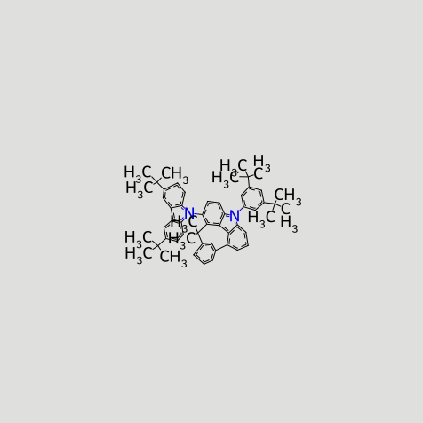 CC(C)(C)c1cc(-n2c3cccc4c3c3c(c(-n5c6ccc(C(C)(C)C)cc6c6cc(C(C)(C)C)ccc65)ccc32)C(C)(C)c2cccc-4c2)cc(C(C)(C)C)c1